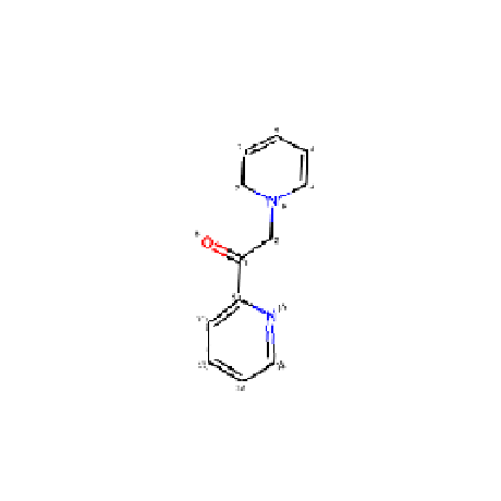 O=C(CN1C=CC=CC1)c1ccccn1